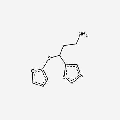 NCCC(Sc1ccco1)c1cncs1